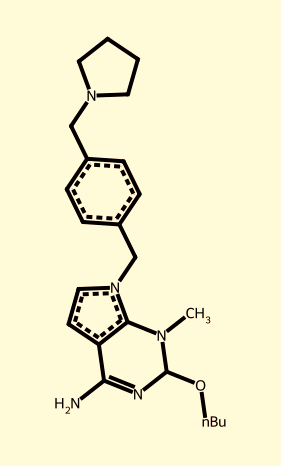 CCCCOC1N=C(N)c2ccn(Cc3ccc(CN4CCCC4)cc3)c2N1C